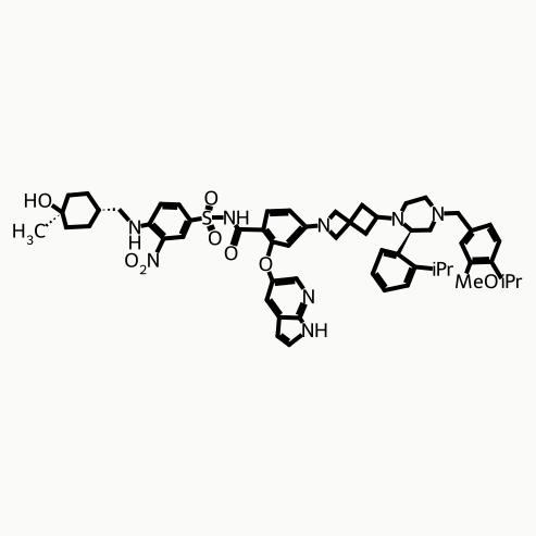 COc1cc(CN2CCN(C3CC4(C3)CN(c3ccc(C(=O)NS(=O)(=O)c5ccc(NC[C@H]6CC[C@](C)(O)CC6)c([N+](=O)[O-])c5)c(Oc5cnc6[nH]ccc6c5)c3)C4)[C@H](c3ccccc3C(C)C)C2)ccc1C(C)C